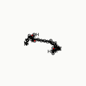 Cc1ncsc1-c1ccc(CNC(=O)[C@@H]2C[C@@H](O)CN2C(=O)C(NC(=O)CCOCCOCCOCCOCCC(=O)N2CC=C(c3cc(NC(=O)c4c[nH]c(=O)cc4C(F)(F)F)c(N4C[C@@H](C)N(C)[C@@H](C)C4)cc3F)CC2)C(C)(C)C)cc1